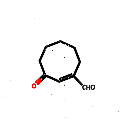 O=CC1=CC(=O)CCCCC1